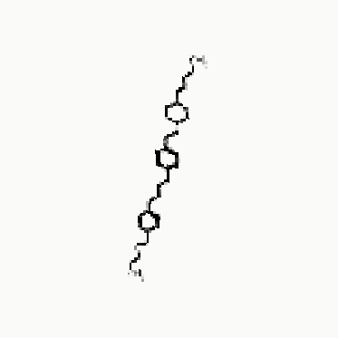 CCCC=C[C@H]1CC[C@H](CCc2ccc(CCCCc3ccc(COCCC)cc3)cc2)CC1